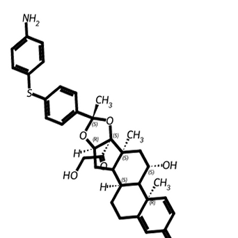 C[C@]1(c2ccc(Sc3ccc(N)cc3)cc2)O[C@@H]2CC3[C@@H]4CCC5=CC(=O)C=C[C@]5(C)C4[C@@H](O)C[C@]3(C)[C@]2(C(=O)CO)O1